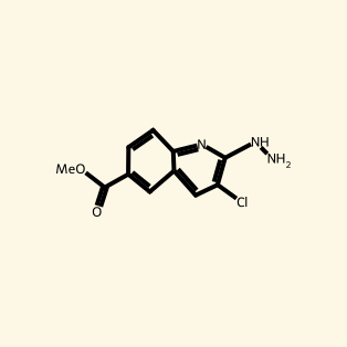 COC(=O)c1ccc2nc(NN)c(Cl)cc2c1